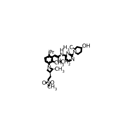 C=N/C(=C\c1c(C(C)C)ccc(N2C[C@H](CCS(C)(=O)=O)[C@H]2C)c1C)Nc1ccnc(N2CC[C@H](O)C[C@@H]2C)n1